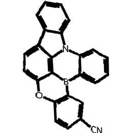 N#Cc1ccc2c(c1)B1c3ccccc3-n3c4ccccc4c4ccc(c1c43)O2